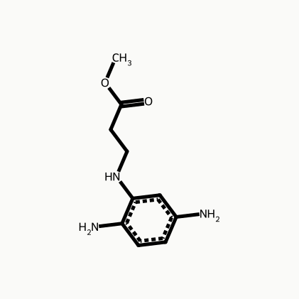 COC(=O)CCNc1cc(N)ccc1N